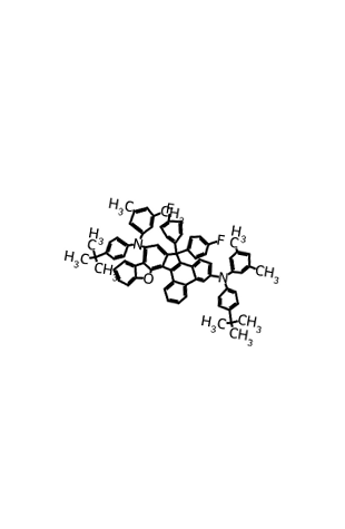 Cc1cc(C)cc(N(c2ccc(C(C)(C)C)cc2)c2ccc3c4c(c5ccccc5c3c2)-c2c(cc(N(c3ccc(C(C)(C)C)cc3)c3cc(C)cc(C)c3)c3c2oc2ccccc23)C4(c2ccc(F)cc2)c2ccc(F)cc2)c1